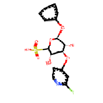 O=S(=O)(O)C1O[C@@H](Oc2ccccc2)[C@H](O)[C@@H](Oc2ccnc(F)c2)[C@@H]1O